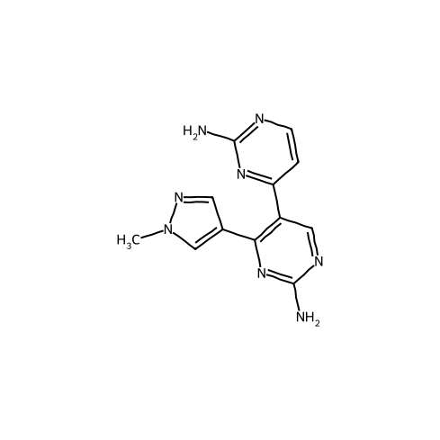 Cn1cc(-c2nc(N)ncc2-c2ccnc(N)n2)cn1